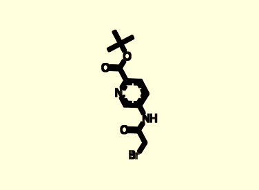 CC(C)(C)OC(=O)c1ccc(NC(=O)CBr)cn1